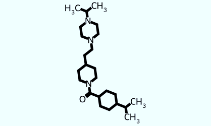 CC(C)C1CCC(C(=O)N2CCC(CCN3CCN(C(C)C)CC3)CC2)CC1